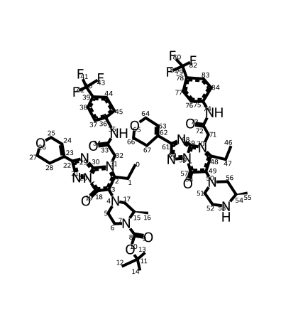 CCc1c(N2CCN(C(=O)OC(C)(C)C)[C@H](C)C2)c(=O)n2nc(C3=CCOCC3)nc2n1CC(=O)Nc1ccc(C(F)(F)F)cc1.CCc1c(N2CCN[C@H](C)C2)c(=O)n2nc(C3=CCOCC3)nc2n1CC(=O)Nc1ccc(C(F)(F)F)cc1